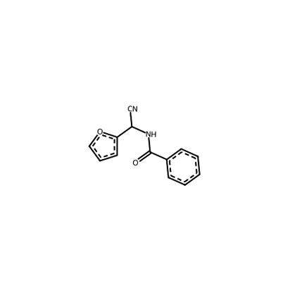 N#CC(NC(=O)c1ccccc1)c1ccco1